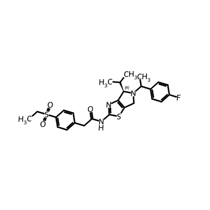 CCS(=O)(=O)c1ccc(CC(=O)Nc2nc3c(s2)CN(C(C)c2ccc(F)cc2)[C@@H]3C(C)C)cc1